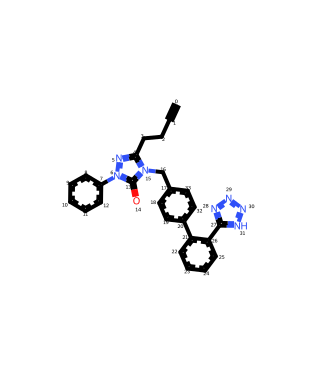 C#CCCc1nn(-c2ccccc2)c(=O)n1Cc1ccc(-c2ccccc2-c2nnn[nH]2)cc1